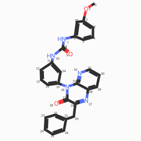 COc1cccc(NC(=O)Nc2cccc(-n3c(=O)c(Cc4ccccc4)nc4cccnc43)c2)c1